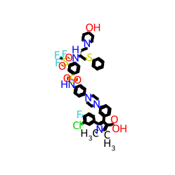 Cc1c(C(=O)O)c(-c2cccc(N3CCN(c4ccc(NS(=O)(=O)c5ccc(N[C@H](CCN6CCC(O)CC6)CSc6ccccc6)c(S(=O)(=O)C(F)(F)F)c5)cc4)CC3)c2)c(-c2ccc(F)c(Cl)c2)n1C